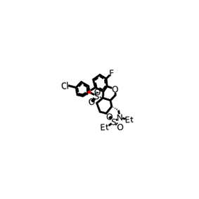 CCN(C[C@@H]1CCC[C@@]2(S(=O)(=O)c3ccc(Cl)cc3)c3c(F)ccc(F)c3OCC12)S(=O)(=O)CC